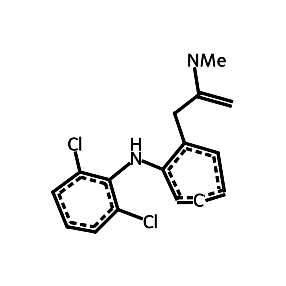 C=C(Cc1ccccc1Nc1c(Cl)cccc1Cl)NC